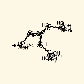 CC(=O)NC1C(OCCCCCCOP(=O)(O)OCCCOCC(COCCCOP(=O)(O)OCCCCCCOC(OC(CO)[C@@H](C)O)[C@H](CO)NC(C)=O)(COCCCOP(=O)(O)OCCCCCCOC2OCC(O)C(O)[C@]2(CO)NC(C)=O)C(C)C)OC(CO)C(O)C1O